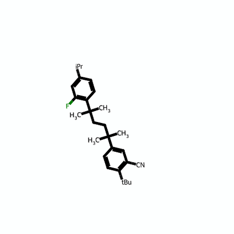 CC(C)c1ccc(C(C)(C)CCC(C)(C)c2ccc(C(C)(C)C)c(C#N)c2)c(F)c1